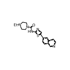 CCN1CCN(C(=O)Nc2ncc(-c3ccc4cnccc4c3)s2)CC1